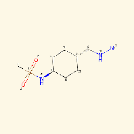 CS(=O)(=O)N[C@H]1CC[C@H](CN[N])CC1